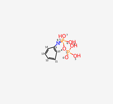 O=P(O)(O)OP(O)(O)=Nc1ccccc1